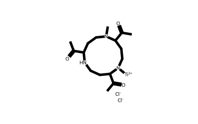 CC(=O)C1CCN(C)C(C(C)=O)CC[N]([Ti+2])C(C(C)=O)CCN1.[Cl-].[Cl-]